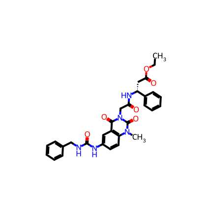 CCOC(=O)C[C@@H](NC(=O)Cn1c(=O)c2cc(NC(=O)NCc3ccccc3)ccc2n(C)c1=O)c1ccccc1